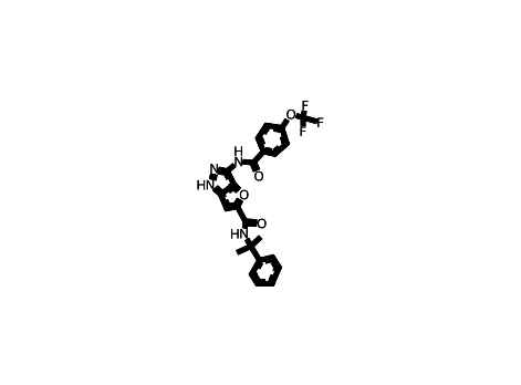 CC(C)(NC(=O)c1cc2[nH]nc(NC(=O)c3ccc(OC(F)(F)F)cc3)c2o1)c1ccccc1